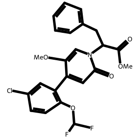 COC(=O)C(Cc1ccccc1)n1cc(OC)c(-c2cc(Cl)ccc2OC(F)F)cc1=O